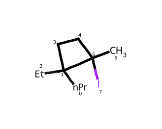 CCCC1(CC)CCC1(C)I